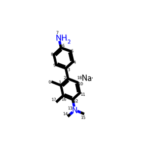 Cc1c(-c2ccc(N)cc2)ccc(N(C)C)c1C.[Na]